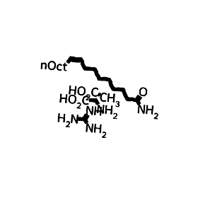 CC(=O)O.CCCCCCCC/C=C\CCCCCCCC(N)=O.N=C(N)N.NCC(=O)O